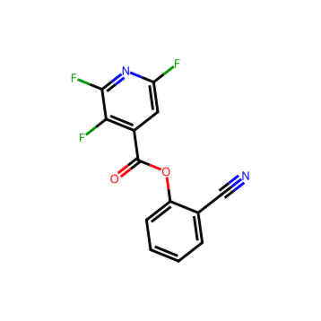 N#Cc1ccccc1OC(=O)c1cc(F)nc(F)c1F